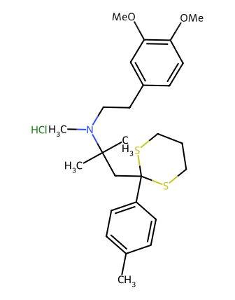 COc1ccc(CCN(C)C(C)(C)CC2(c3ccc(C)cc3)SCCCS2)cc1OC.Cl